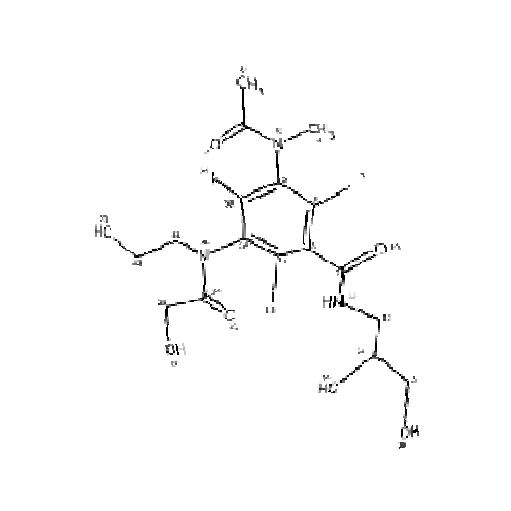 CC(=O)N(C)c1c(I)c(C(=O)NCC(O)CO)c(I)c(N(CCO)C(=O)CO)c1I